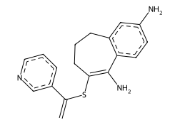 C=C(SC1=C(N)c2ccc(N)cc2CCC1)c1cccnc1